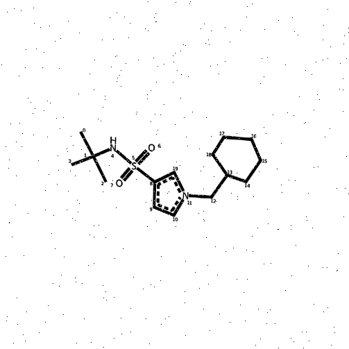 CC(C)(C)NS(=O)(=O)c1ccn(CC2CCCCC2)c1